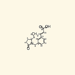 CCC1CCC(=O)N1Cc1cccc(/C=C/C(=O)O)c1